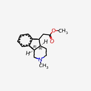 COC(=O)CC1c2ccccc2[C@@H]2CN(C)CC[C@H]12